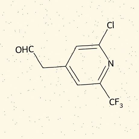 O=CCc1cc(Cl)nc(C(F)(F)F)c1